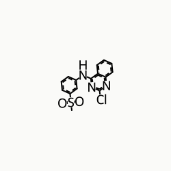 CS(=O)(=O)c1cccc(Nc2nc(Cl)nc3ccccc23)c1